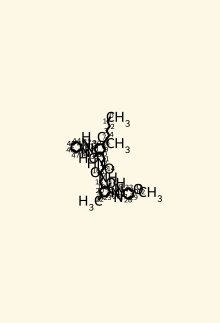 CCCCCC(C)(C)c1cc(CNC(=O)C(=O)NCc2cc(C)cc(-n3nc4ccc(OC)cc4n3)c2O)c(O)c(-n2nc3ccccc3n2)c1